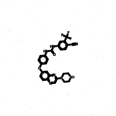 N#Cc1ccc(NC(=O)Nc2ccc(Oc3ccc4ncc(N5CCNCC5)nc4c3)cc2)cc1C(F)(F)F